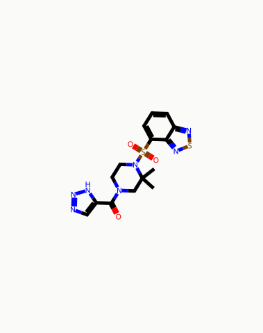 CC1(C)CN(C(=O)c2cnn[nH]2)CCN1S(=O)(=O)c1cccc2nsnc12